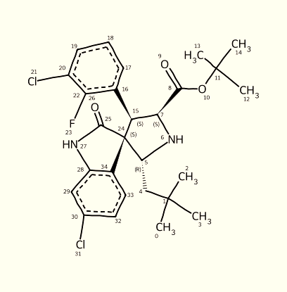 CC(C)(C)C[C@H]1N[C@H](C(=O)OC(C)(C)C)[C@H](c2cccc(Cl)c2F)[C@@]12C(=O)Nc1cc(Cl)ccc12